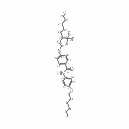 CCCCCCOc1ccc(NC(=O)c2ccc(SCOC(CCCCCC)C(F)(F)F)cc2)cc1